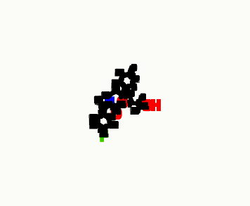 Cc1ccc([C@@]2(CCC(C)(C)O)CCN([C@@H](C)c3ccc(F)cc3)C(=O)O2)cc1